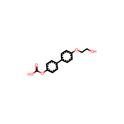 O=C(O)Oc1ccc(-c2ccc(OCCO)cc2)cc1